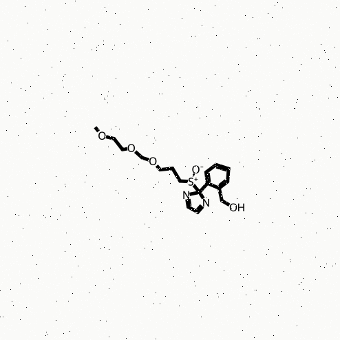 COCCOCOCCC[S@+]([O-])C1(c2ccccc2CO)N=CC=N1